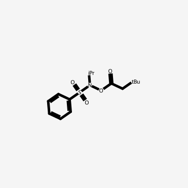 CC(C)N(OC(=O)CC(C)(C)C)S(=O)(=O)c1ccccc1